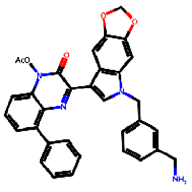 CC(=O)On1c(=O)c(-c2cn(Cc3cccc(CN)c3)c3cc4c(cc23)OCO4)nc2c(-c3ccccc3)cccc21